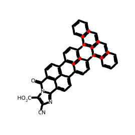 N#Cc1nc2c3ccc(-c4ccc(N(c5ccccc5)c5ccccc5)cc4)c4c(-c5ccc(N(c6ccccc6)c6ccccc6)cc5)ccc(c(=O)n2c1C(=O)O)c43